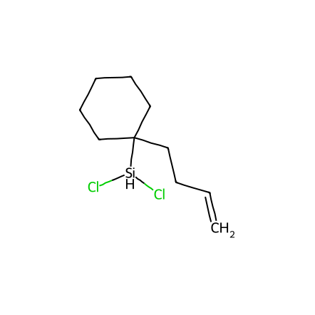 C=CCCC1([SiH](Cl)Cl)CCCCC1